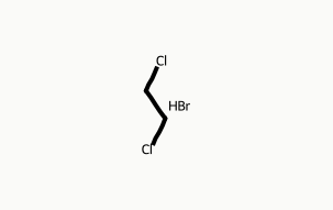 Br.ClCCCl